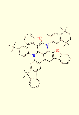 Cc1cc2c(cc1N1c3oc4ccccc4c3B3c4c(cc5c(oc6ccccc65)c41)-c1cc4c(cc1N3c1ccc(C(C)(C)C)cc1)C(C)(C)c1ccccc1-4)C(C)(C)CCC2(C)C